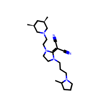 CC1CCCN1CCCN1CCN(CCN2C[C@H](C)C[C@H](C)C2)C1=C(C#N)C#N